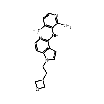 Cc1ccnc(C)c1Nc1nccc2c1ccn2CCC1COC1